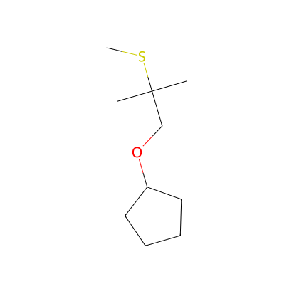 CSC(C)(C)COC1CCCC1